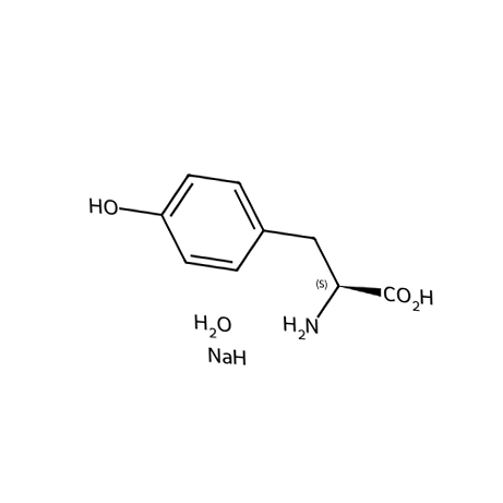 N[C@@H](Cc1ccc(O)cc1)C(=O)O.O.[NaH]